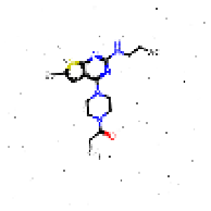 CCc1cc2c(N3CCN(C(=O)CC(F)(F)F)CC3)nc(NCCC(C)=O)nc2s1